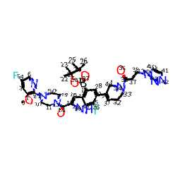 COc1cc(F)cnc1N1CCN(C(=O)c2cc3c(B4OC(C)(C)C(C)(C)O4)cc(C4=CCCN(C(=O)CCn5ccnn5)C4)c(F)c3[nH]2)CC1